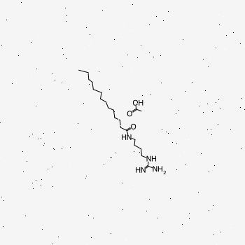 CC(=O)O.CCCCCCCCCCCCCC(=O)NCCCCNC(=N)N